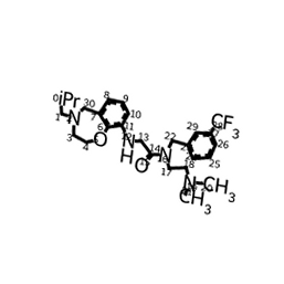 CC(C)CN1CCOc2c(cccc2NCC(=O)N(CCN(C)C)Cc2cccc(C(F)(F)F)c2)C1